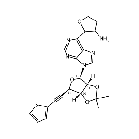 CC1(C)O[C@@H]2[C@H](O1)[C@@H](C#Cc1cccs1)O[C@H]2n1cnc2c(C3OCCC3N)ncnc21